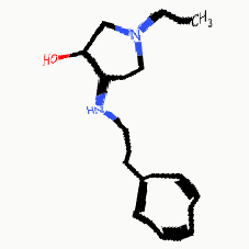 CCN1CC(O)C(NCCc2ccccc2)C1